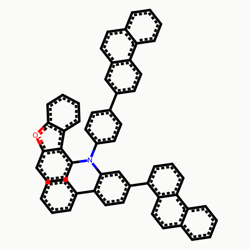 c1ccc(-c2ccc(-c3cccc4c3ccc3ccccc34)cc2N(c2ccc(-c3ccc4c(ccc5ccccc54)c3)cc2)c2cccc3oc4ccccc4c23)cc1